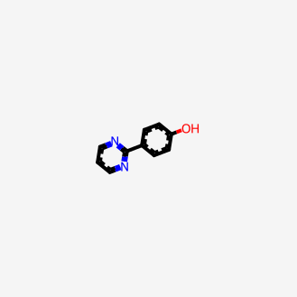 Oc1ccc(-c2ncccn2)cc1